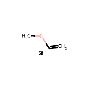 C=C[B]C.[Si]